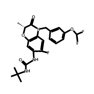 C[C@H]1Oc2cc(NC(=O)NC(C)(C)C)c(F)cc2N(Cc2cccc(OC(F)F)c2)C1=O